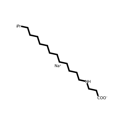 CC(C)CCCCCCCCCCCCNCCC(=O)[O-].[Na+]